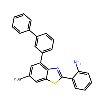 CCCCc1cc(-c2cccc(-c3ccccc3)c2)c2nc(-c3ccccc3N)sc2c1